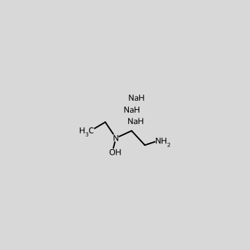 CCN(O)CCN.[NaH].[NaH].[NaH]